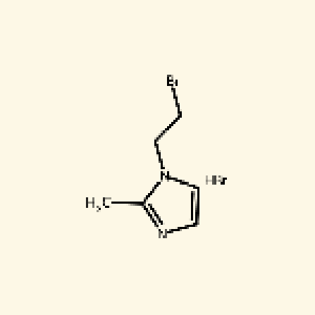 Br.Cc1nccn1CCBr